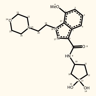 COc1cccc2c(C(=O)NC3CCS(O)(O)C3)nn(CCN3CCOCC3)c12